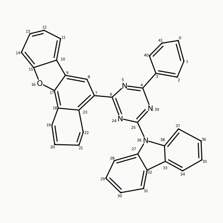 c1ccc(-c2nc(-c3cc4c5ccccc5oc4c4ccccc34)nc(-n3c4ccccc4c4ccccc43)n2)cc1